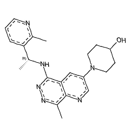 Cc1ncccc1[C@@H](C)Nc1nnc(C)c2ncc(N3CCC(O)CC3)cc12